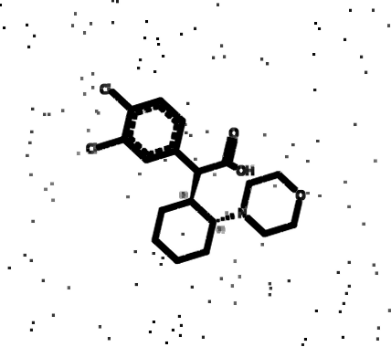 O=C(O)C(c1ccc(Cl)c(Cl)c1)[C@@H]1CCCC[C@H]1N1CCOCC1